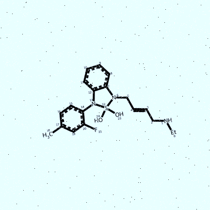 CCNCC=CCN1c2ccccc2N(c2ccc(C)cc2F)S1(O)O